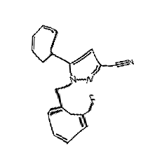 N#Cc1cc(C2C=CC=CC2)n(Cc2ccccc2F)n1